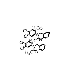 C=O.CC1=Nc2ccccc2CN1c1ccc(Cl)c(Cl)c1.CC1=Nc2ccccc2CN1c1ccc(Cl)c(Cl)c1